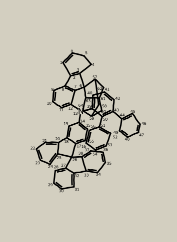 C1=CC2=C(CC1)C1(c3c2cccc3N(c2ccc3c(c2)-c2ccccc2C32c3ccccc3-c3ccccc32)c2cccc(-c3ccccc3)c2-c2ccccc2)C2CC3CC(C2)C1C3